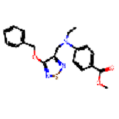 CCN(Cc1nsnc1OCc1ccccc1)c1ccc(C(=O)OC)cc1